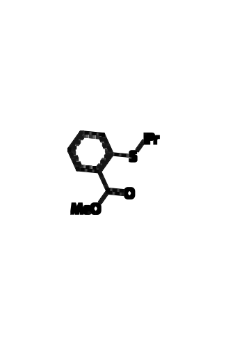 COC(=O)c1ccccc1SC(C)C